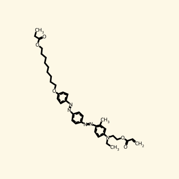 C=CC(=O)OCCN(CC)c1ccc(N=Nc2ccc(N=Nc3ccc(OCCCCCCCCCOC(=O)CC)cc3)cc2)c(C)c1